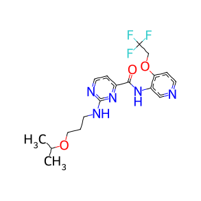 CC(C)OCCCNc1nccc(C(=O)Nc2cnccc2OCC(F)(F)F)n1